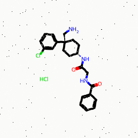 Cl.NC[C@]1(c2cccc(Cl)c2)CC[C@@H](NC(=O)CNC(=O)c2ccccc2)CC1